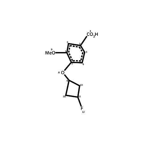 COc1cc(C(=O)O)ccc1OC1CC(F)C1